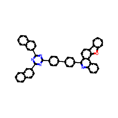 c1ccc2cc(-c3nc(-c4ccc(-c5ccc(-c6nc7ccccc7c7c6ccc6c8ccccc8oc67)cc5)cc4)nc(-c4ccc5ccccc5c4)n3)ccc2c1